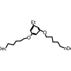 CCCCCCCCCCCCCCCOc1cc(CC)cc(OCCCCCCCCCCCCCCC)c1